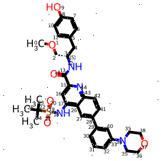 COC[C@H](Cc1ccc(O)cc1)NC(=O)c1cc(NS(=O)(=O)C(C)(C)C)c2cc(-c3cccc(N4CCOCC4)c3)ccc2n1